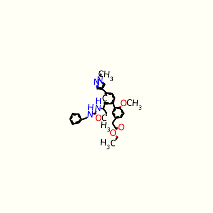 CCOC(=O)Cc1ccc(OC)c(-c2ccc(-c3cnn(C)c3)cc2C(CC)NC(=O)NCc2ccccc2)c1